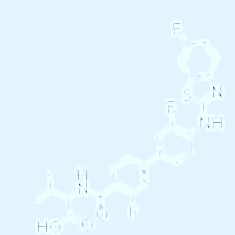 CC(C)[C@H](NC(=O)c1ccc(-c2ccc(Nc3nc4ccc(F)cc4s3)c(F)c2)cc1F)C(=O)O